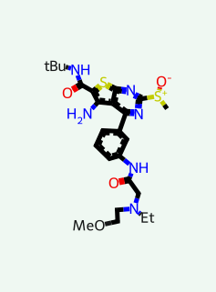 CCN(CCOC)CC(=O)Nc1cccc(-c2nc([S+](C)[O-])nc3sc(C(=O)NC(C)(C)C)c(N)c23)c1